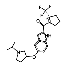 CC(C)N1CCC(Oc2ccc3[nH]c(C(=O)N4CCC[C@H]4C(F)(F)F)cc3c2)C1